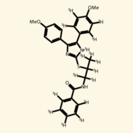 [3H]c1c([3H])c([3H])c(C(=O)NC([3H])([3H])C([3H])(Sc2nc(-c3ccc(OC)cc3)c(-c3c([3H])c([3H])c(OC)c([3H])c3[3H])n2[3H])C([3H])([3H])[3H])c([3H])c1[3H]